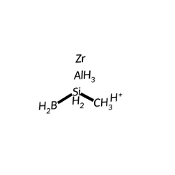 B[SiH2]C.[AlH3].[H+].[Zr]